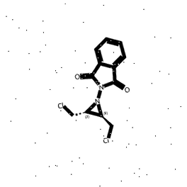 O=C1c2ccccc2C(=O)N1N1[C@@H](CCl)[C@@H]1CCl